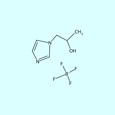 CC(O)Cn1ccnc1.F[B-](F)(F)F